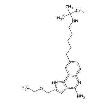 CCOCc1cc2c(N)nc3ccc(CCCCCNC(C)(C)C)cc3c2[nH]1